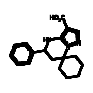 O=C(O)c1cnn2c1NC(c1ccccc1)CC21CCCCC1